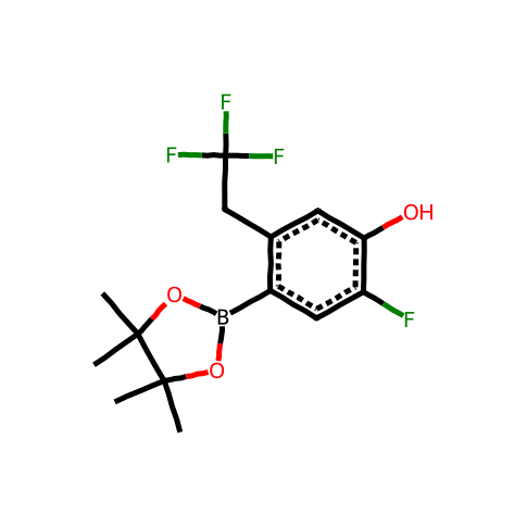 CC1(C)OB(c2cc(F)c(O)cc2CC(F)(F)F)OC1(C)C